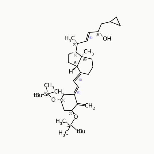 C=C1/C(=C/C=C2\CCC[C@]3(C)[C@@H]([C@H](C)/C=C/[C@@H](O)CC4CC4)CC[C@@H]23)C[C@@H](O[Si](C)(C)C(C)(C)C)C[C@@H]1O[Si](C)(C)C(C)(C)C